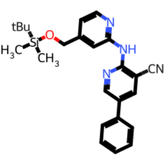 CC(C)(C)[Si](C)(C)OCc1ccnc(Nc2ncc(-c3ccccc3)cc2C#N)c1